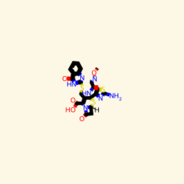 CON=CC(=O)NC1(c2csc(N)n2)S[C@H]2CC(=O)N2C(C(=O)O)=C1CSc1nc2ccccc2c(=O)[nH]1